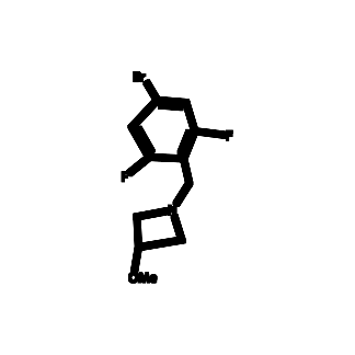 COC1CN(Cc2c(F)cc(Br)cc2F)C1